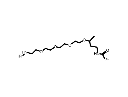 CC(C)NCCOCCOCCOCCOC(C)CCNC(=O)C(C)C